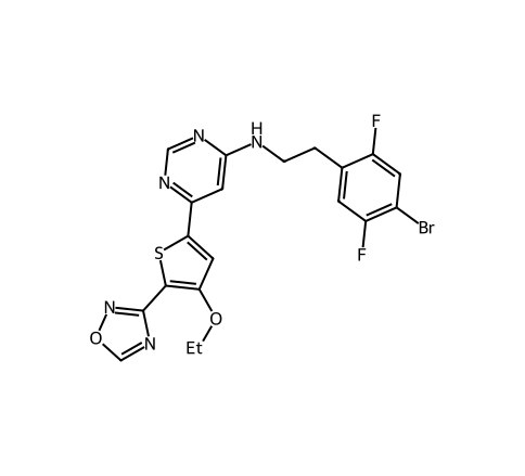 CCOc1cc(-c2cc(NCCc3cc(F)c(Br)cc3F)ncn2)sc1-c1ncon1